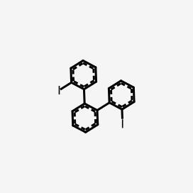 Ic1ccccc1-c1ccccc1-c1ccccc1I